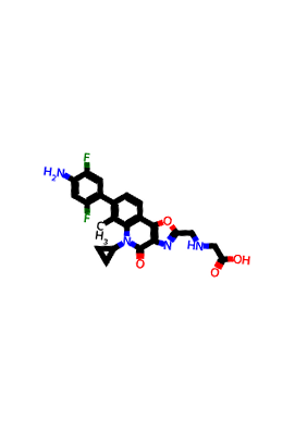 Cc1c(-c2cc(F)c(N)cc2F)ccc2c3oc(CNCC(=O)O)nc3c(=O)n(C3CC3)c12